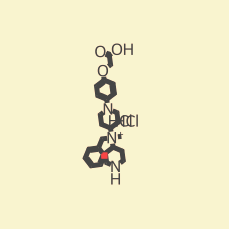 C[N+](Cc1ccccc1)(C1CCNCC1)C1CCN(c2ccc(OCC(=O)O)cc2)CC1.Cl.Cl